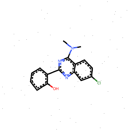 CN(C)c1nc(-c2ccccc2O)nc2cc(Cl)ccc12